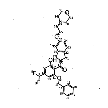 O=C(c1c(O)cc(C(F)F)cc1OCc1ccccc1)N1Cc2ccc(OCCN3CCOCC3)cc2C1